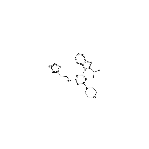 FC(F)c1nc2ccccc2n1-c1nc(NCCc2c[nH]cn2)nc(N2CCOCC2)n1